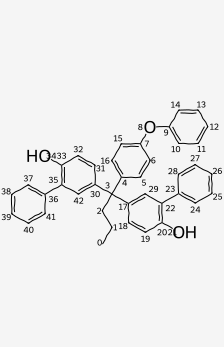 CCCC(c1ccc(Oc2ccccc2)cc1)(c1ccc(O)c(-c2ccccc2)c1)c1ccc(O)c(-c2ccccc2)c1